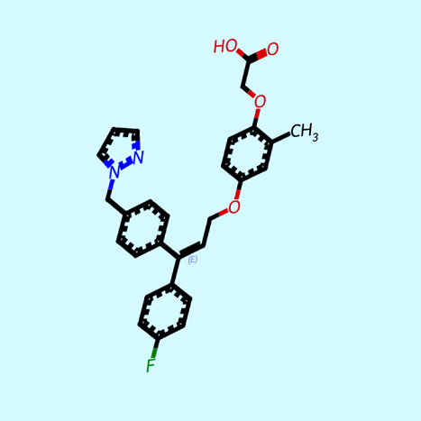 Cc1cc(OC/C=C(/c2ccc(F)cc2)c2ccc(Cn3cccn3)cc2)ccc1OCC(=O)O